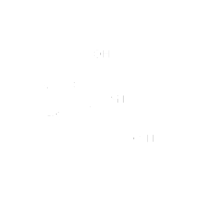 O=C(O)CC(S)(S)C(O)=S